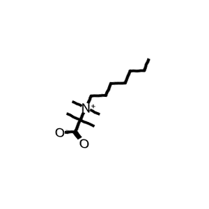 CCCCCCC[N+](C)(C)C(C)(C)C(=O)[O-]